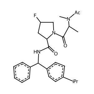 CC(=O)N(C)C(C)C(=O)N1CC(F)CC1C(=O)NC(c1ccccc1)c1ccc(C(C)C)cc1